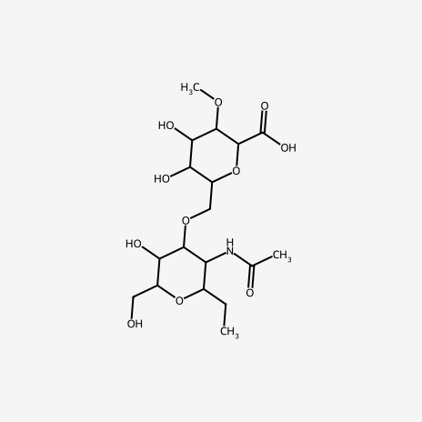 CCC1OC(CO)C(O)C(OCC2OC(C(=O)O)C(OC)C(O)C2O)C1NC(C)=O